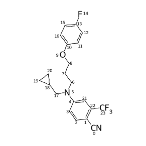 N#Cc1ccc(N(CCCOc2ccc(F)cc2)CC2CC2)cc1C(F)(F)F